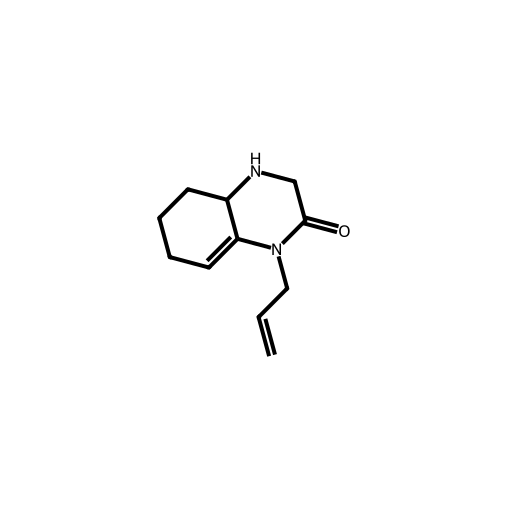 C=CCN1C(=O)CNC2CCCC=C21